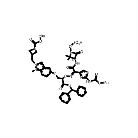 C[n+]1c2ccc(OCC(O/N=C(\C(=O)N[C@@H]3C(=O)N(OS(=O)(=O)O)C3(C)C)c3csc(NC(=O)OC(C)(C)C)n3)C(=O)OC(c3ccccc3)c3ccccc3)cc2cn1CC1CN(C(=O)OC(C)(C)C)C1